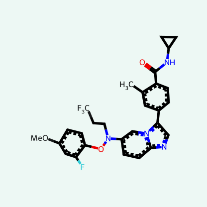 COc1ccc(ON(CCC(F)(F)F)c2ccc3ncc(-c4ccc(C(=O)NC5CC5)c(C)c4)n3c2)c(F)c1